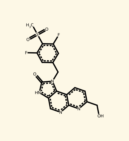 CS(=O)(=O)c1c(F)cc(Cn2c(=O)[nH]c3cnc4nc(CO)ccc4c32)cc1F